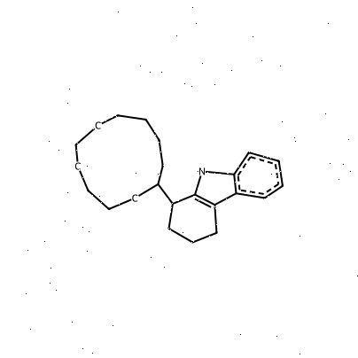 c1ccc2c(c1)[N]C1=C2CCCC1C1CCCCCCCCCC1